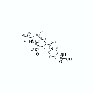 COc1cc(C(=O)N2CCCC(NC(=O)O)C2)cc([N+](=O)[O-])c1NCC(C)(C)C